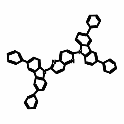 c1ccc(-c2ccc3c(c2)c2cc(-c4ccccc4)ccc2n3-c2ccc3nc(-n4c5ccc(-c6ccccc6)cc5c5cc(-c6ccccc6)ccc54)ccc3n2)cc1